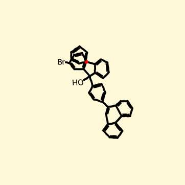 OC(c1ccc(-c2cc3ccccc3c3ccccc23)cc1)(c1cccc(Br)c1)c1ccccc1-c1ccccc1